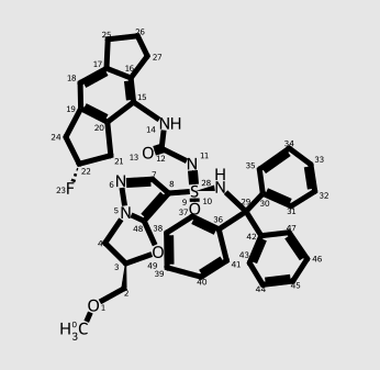 COC[C@H]1Cn2ncc([S@@](=O)(=NC(=O)Nc3c4c(cc5c3C[C@H](F)C5)CCC4)NC(c3ccccc3)(c3ccccc3)c3ccccc3)c2O1